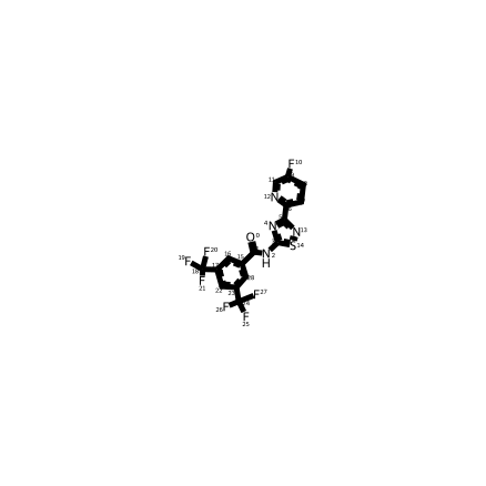 O=C(Nc1nc(-c2ccc(F)cn2)ns1)c1cc(C(F)(F)F)cc(C(F)(F)F)c1